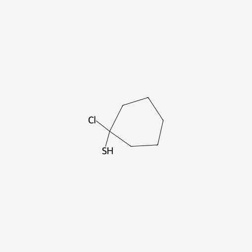 SC1(Cl)CCCCC1